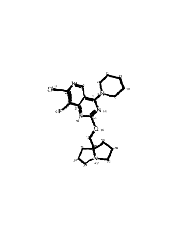 Fc1c(Cl)ncc2c(N3CCCCC3)nc(OCC34CCCN3CCC4)nc12